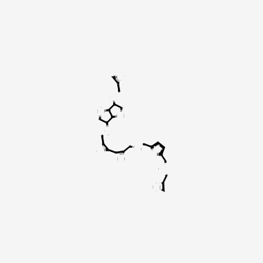 c1cc(COCC2OC2C2OC2COC2COC3C(OCC4CO4)COC23)oc1COCC1CO1